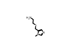 Cn1cncc1CSCCN